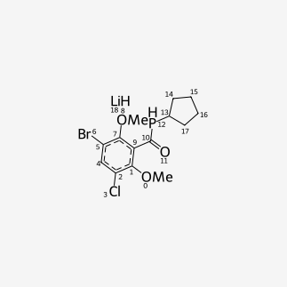 COc1c(Cl)cc(Br)c(OC)c1C(=O)PC1CCCC1.[LiH]